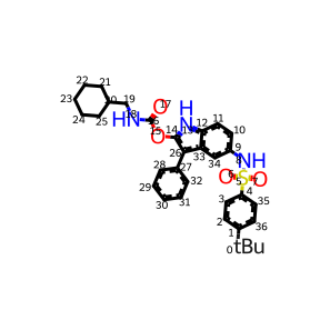 CC(C)(C)c1ccc(S(=O)(=O)Nc2ccc3[nH]c(OC(=O)NCC4CCCCC4)c(-c4ccccc4)c3c2)cc1